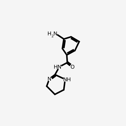 Nc1cccc(C(=O)NC2=NCCCN2)c1